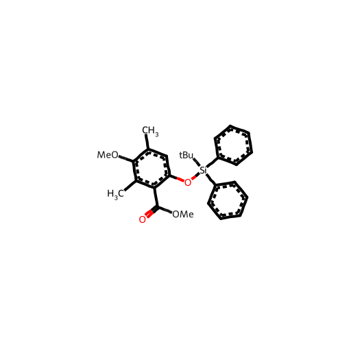 COC(=O)c1c(O[Si](c2ccccc2)(c2ccccc2)C(C)(C)C)cc(C)c(OC)c1C